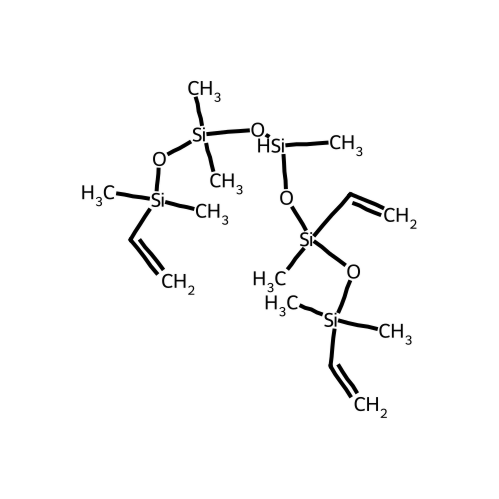 C=C[Si](C)(C)O[Si](C)(C)O[SiH](C)O[Si](C)(C=C)O[Si](C)(C)C=C